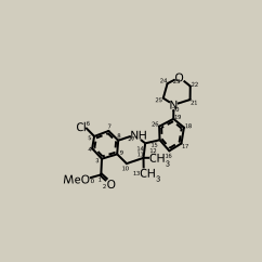 COC(=O)c1cc(Cl)cc2c1CC(C)(C)C(c1cccc(N3CCOCC3)c1)N2